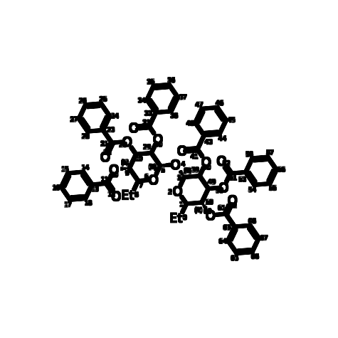 CCC1O[C@H](O[C@H]2OC(CC)[C@H](OC(=O)c3ccccc3)C(OC(=O)c3ccccc3)C2OC(=O)c2ccccc2)C(OC(=O)c2ccccc2)C(OC(=O)c2ccccc2)[C@@H]1OC(=O)c1ccccc1